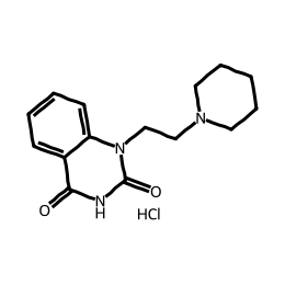 Cl.O=c1[nH]c(=O)n(CCN2CCCCC2)c2ccccc12